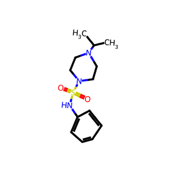 CC(C)N1CCN(S(=O)(=O)Nc2ccccc2)CC1